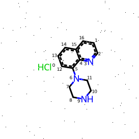 Cl.c1cnc2c(N3CCNCC3)cccc2c1